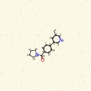 Cc1cncc(-c2ccc(C(=O)N3CCCC3)cc2)c1